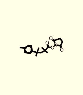 Cc1ccc(C(C)(C)CC(C)(C)C(=O)ON2C(=O)CCC2=O)cc1